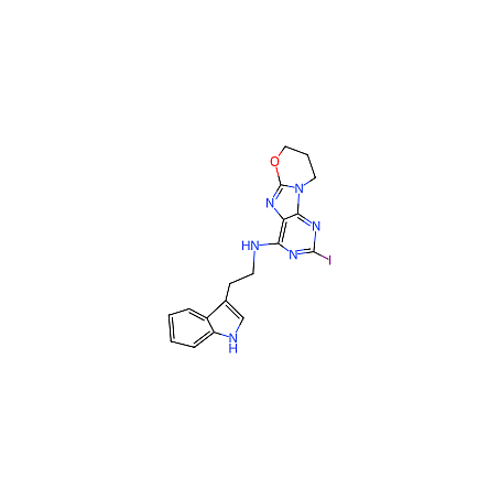 Ic1nc(NCCc2c[nH]c3ccccc23)c2nc3n(c2n1)CCCO3